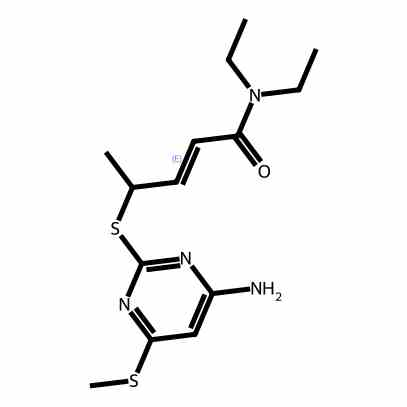 CCN(CC)C(=O)/C=C/C(C)Sc1nc(N)cc(SC)n1